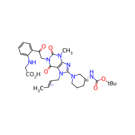 C/C=C/Cn1c(N2CCC[C@@H](NC(=O)OC(C)(C)C)C2)nc2c1c(=O)n(CC(=O)c1ccccc1NCC(=O)O)c(=O)n2C